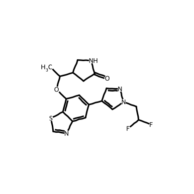 CC(Oc1cc(-c2cnn(CC(F)F)c2)cc2ncsc12)C1CNC(=O)C1